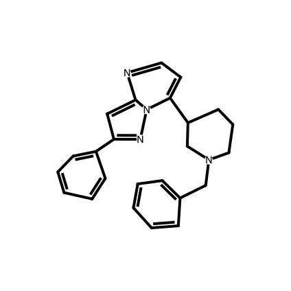 c1ccc(CN2CCCC(c3ccnc4cc(-c5ccccc5)nn34)C2)cc1